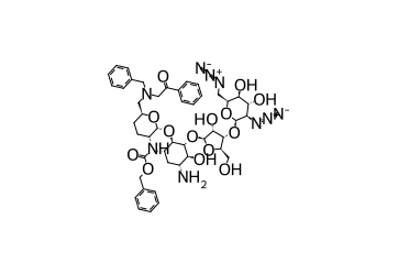 C[C@H]1C[C@@H](N)[C@H](O)[C@@H](O[C@@H]2O[C@H](CO)[C@@H](O[C@H]3O[C@@H](CN=[N+]=[N-])[C@@H](O)[C@H](O)[C@H]3N=[N+]=[N-])[C@H]2O)[C@@H]1O[C@H]1O[C@H](CN(CC(=O)c2ccccc2)Cc2ccccc2)CC[C@H]1NC(=O)OCc1ccccc1